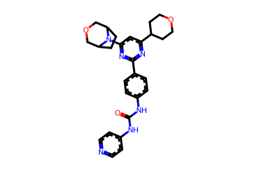 O=C(Nc1ccncc1)Nc1ccc(-c2nc(C3CCOCC3)cc(N3C4CCC3COC4)n2)cc1